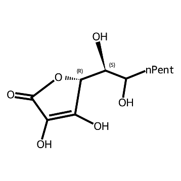 CCCCCC(O)[C@H](O)[C@H]1OC(=O)C(O)=C1O